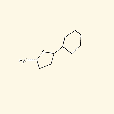 CC1CCC(C2CCCCC2)S1